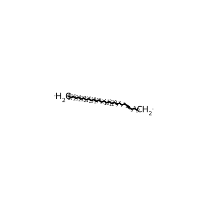 [CH2]CCCC#CCCCCCCCCCCCCCCCCCCCCCC[CH2]